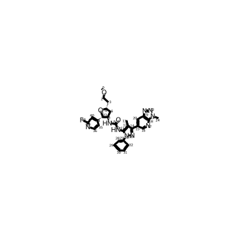 COCC[C@@H]1C[C@@H](NC(=O)Nc2c(C)c(-c3cnc4c(c3)nnn4C)nn2-c2ccccc2)[C@H](c2ccnc(F)c2)O1